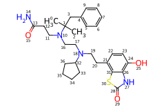 CC(C)(Cc1ccccc1)N(CCC(N)=O)CCN(CCc1ccc(O)c2[nH]c(=O)sc12)C1CCCC1